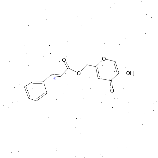 O=C(/C=C/c1ccccc1)OCc1cc(=O)c(O)co1